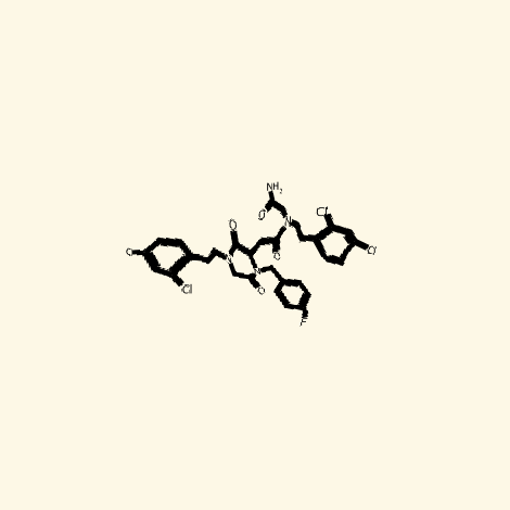 NC(=O)CN(CCc1ccc(Cl)cc1Cl)C(=O)CC1C(=O)N(CCc2ccc(Cl)cc2Cl)CC(=O)N1Cc1ccc(F)cc1